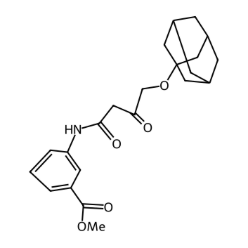 COC(=O)c1cccc(NC(=O)CC(=O)COC23CC4CC(CC(C4)C2)C3)c1